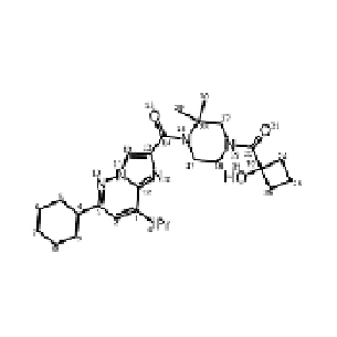 CC(C)c1cc(C2CCCCC2)nn2cc(C(=O)N3CCN(C(=O)C4(O)CCC4)CC3(C)C)nc12